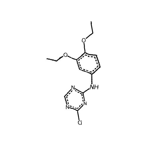 CCOc1ccc(Nc2ncnc(Cl)n2)cc1OCC